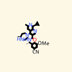 COc1cc(C#N)cc([C@H](C)NC(=O)c2cnc3c(C4CC4)nc(C)cc3c2N2CCN[C@@H](C)CC2)c1